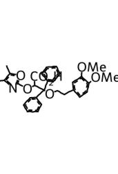 COc1ccc(CCOC(c2ccccc2)(c2ccccc2)C(Oc2nc(C)c(C)o2)C(=O)O)cc1OC